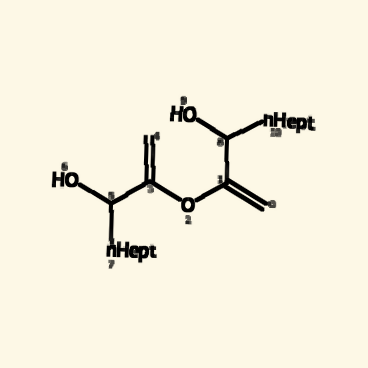 C=C(OC(=C)C(O)CCCCCCC)C(O)CCCCCCC